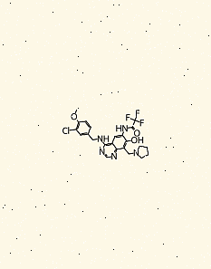 COc1ccc(CNc2ncnc3c(CN4CCCC4)c(O)c(NC(=O)C(F)(F)F)cc23)cc1Cl